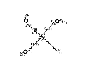 COc1ccc(C(=O)NCCCNC(=O)CCOCC(COCCC(=O)NCCCNC(=O)c2ccc(OC)cc2)(COCCC(=O)NCCCNC(=O)c2ccc(OC)cc2)NC(=O)CCCCCCCCCCC(=O)O)cc1